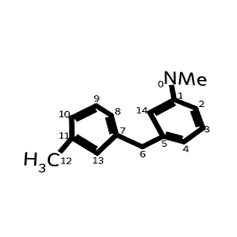 CNc1cccc(Cc2cccc(C)c2)c1